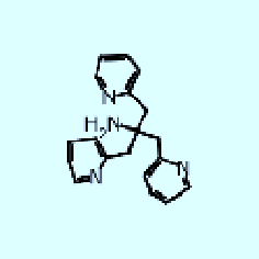 NC(Cc1ccccn1)(Cc1ccccn1)Cc1ccccn1